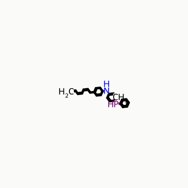 C=C/C=C\C=C/CC1=CCC(NC(/C=C\CPc2ccccc2)=C/C)C=C1